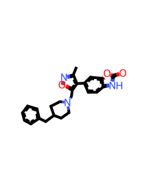 Cc1noc(CN2CCC(Cc3ccccc3)CC2)c1-c1ccc2[nH]c(=O)oc2c1